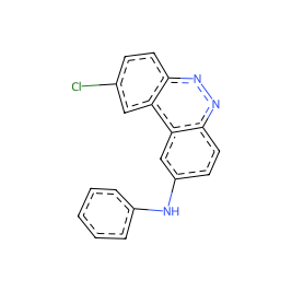 Clc1ccc2nnc3ccc(Nc4ccccc4)cc3c2c1